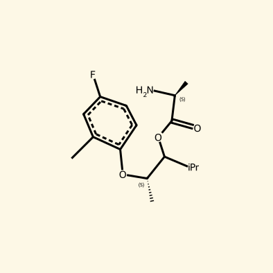 Cc1cc(F)ccc1O[C@@H](C)C(OC(=O)[C@H](C)N)C(C)C